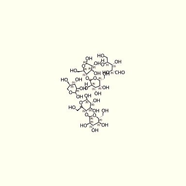 O=C[C@H](O)[C@@H](O)[C@@H](O)CO.OC1OC[C@@H](O)[C@H](O)[C@H]1O.OC[C@H]1O[C@@H](O[C@H]2[C@H](O)[C@@H](O)[C@H](O)O[C@@H]2CO)[C@H](O)[C@@H](O)[C@H]1O.OC[C@H]1O[C@H](O[C@H]2[C@H](O)[C@@H](O)[C@H](O)O[C@@H]2CO)[C@H](O)[C@@H](O)[C@@H]1O